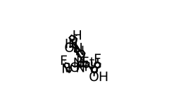 CCc1c(F)ccc2cc(O)cc(N3CCc4c(nc(OC[C@@]56CCCN5C[C@H](F)C6)nc4N4CCCn5nc(C(=O)N6CC[C@H]7CC[C@@H]6C7)cc5C4)C3)c12